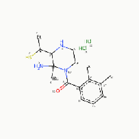 CCCCC1(N)C(C(S)CC)NCCN1C(=O)c1cccc(C)c1C.Cl.Cl